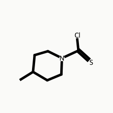 CC1CCN(C(=S)Cl)CC1